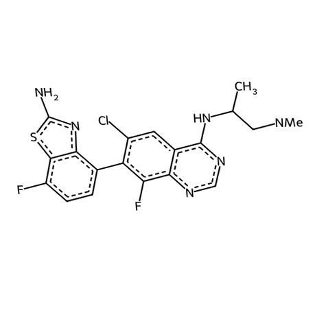 CNCC(C)Nc1ncnc2c(F)c(-c3ccc(F)c4sc(N)nc34)c(Cl)cc12